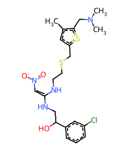 Cc1cc(CSCCNC(=C[N+](=O)[O-])NCC(O)c2cccc(Cl)c2)sc1CN(C)C